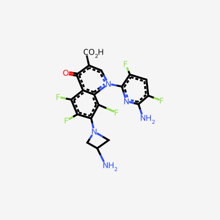 Nc1nc(-n2cc(C(=O)O)c(=O)c3c(F)c(F)c(N4CC(N)C4)c(F)c32)c(F)cc1F